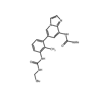 CNC(=O)Nc1cc(-c2cccc(NC(=O)NCC(C)(C)C)c2C)cn2ccnc12